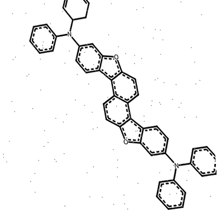 C1=CCC(N(c2ccccc2)c2ccc3c(c2)oc2ccc4c(ccc5oc6cc(N(c7ccccc7)c7ccccc7)ccc6c54)c23)C=C1